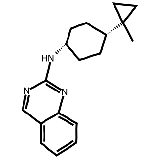 CC1([C@H]2CC[C@@H](Nc3ncc4ccccc4n3)CC2)CC1